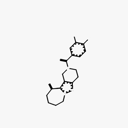 O=C1CCCCn2nc3c(c21)CN(C(=O)c1ccc(Cl)c(Cl)c1)CC3